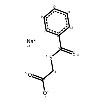 O=C([O-])CSC(=S)c1ccccc1.[Na+]